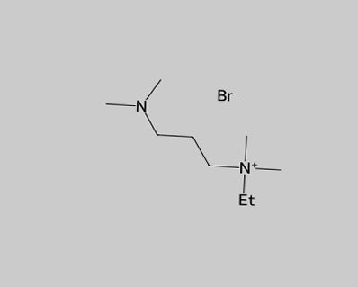 CC[N+](C)(C)CCCN(C)C.[Br-]